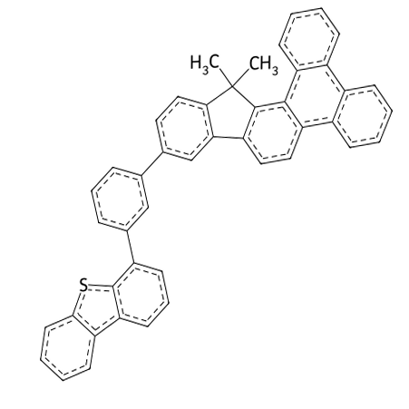 CC1(C)c2ccc(-c3cccc(-c4cccc5c4sc4ccccc45)c3)cc2-c2ccc3c4ccccc4c4ccccc4c3c21